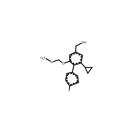 COCOc1cc(CO)cc(C2CC2)c1-c1ccc(F)cc1